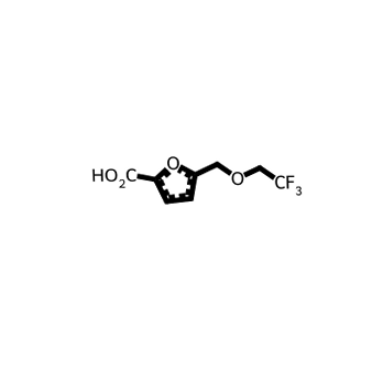 O=C(O)c1ccc(COCC(F)(F)F)o1